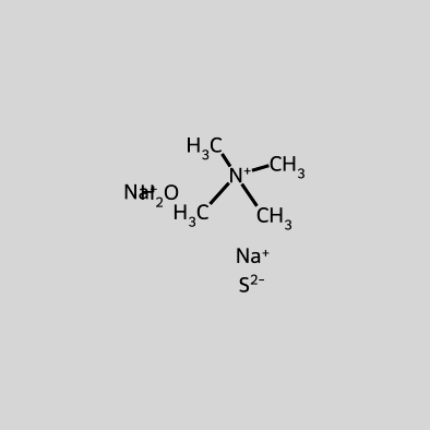 C[N+](C)(C)C.O.[Na+].[Na+].[S-2]